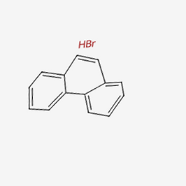 Br.c1ccc2c(c1)ccc1ccccc12